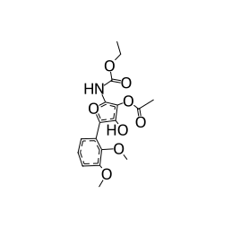 CCOC(=O)Nc1oc(-c2cccc(OC)c2OC)c(O)c1OC(C)=O